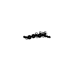 C=CCOc1ccc(-c2ccc(C(=O)Oc3ccc(C(=O)OC(CCCCC)C(F)(F)F)c(F)c3)cc2)cc1